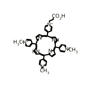 C[n+]1ccc(-c2c3nc(c(-c4cc[n+](C)cc4)c4ccc([nH]4)c(-c4cc[n+](CCC(=O)O)cc4)c4nc(c(-c5cc[n+](C)cc5)c5ccc2[nH]5)C=C4)C=C3)cc1